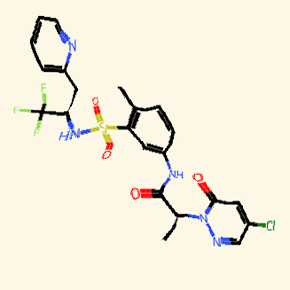 Cc1ccc(NC(=O)[C@H](C)n2ncc(Cl)cc2=O)cc1S(=O)(=O)N[C@H](Cc1ccccn1)C(F)(F)F